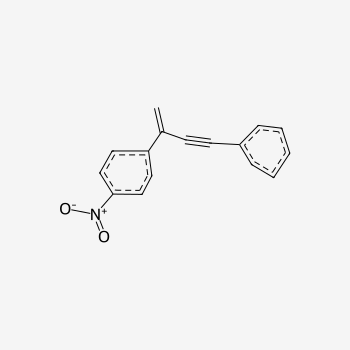 C=C(C#Cc1ccccc1)c1ccc([N+](=O)[O-])cc1